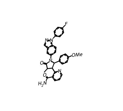 COc1ccc(C2C(c3ncccc3C(N)=O)C(C)C(=O)N2c2ccc3c(cnn3-c3ccc(F)cc3)c2)cc1